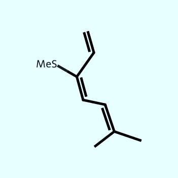 C=C/C(=C\C=C(C)C)SC